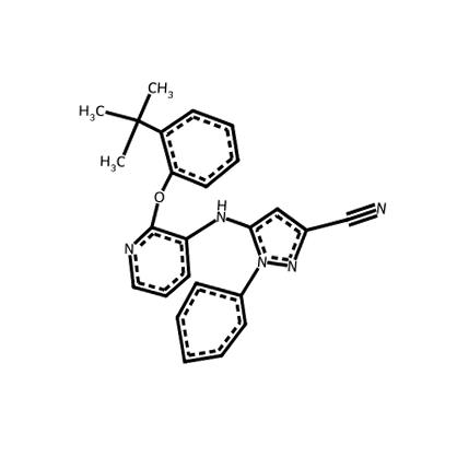 CC(C)(C)c1ccccc1Oc1ncccc1Nc1cc(C#N)nn1-c1ccccc1